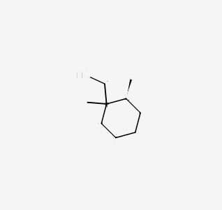 C[C@H]1CCCCC1(C)CS